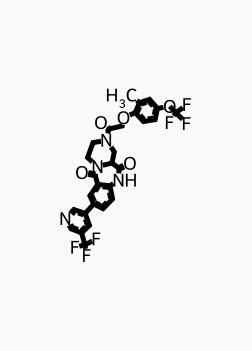 Cc1cc(OC(F)(F)F)ccc1OCC(=O)N1CCN2C(=O)c3cc(-c4cncc(C(F)(F)F)c4)ccc3NC(=O)C2C1